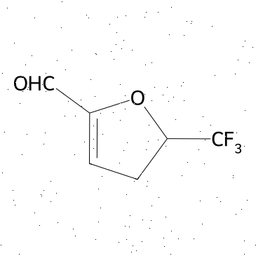 O=CC1=CCC(C(F)(F)F)O1